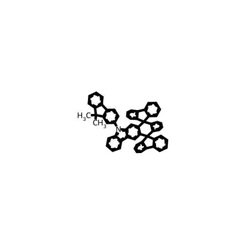 CC1(C)c2ccccc2-c2ccc(-n3c4ccccc4c4cc5c(cc43)C3(c4ccccc4-c4ccccc43)c3ccccc3C53c4ccccc4-c4ccccc43)cc21